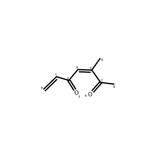 C=CC(=O)/C=C(/C)C(C)=O